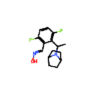 CC(c1c(F)ccc(F)c1/C=N/O)N1C2CCC1CC2